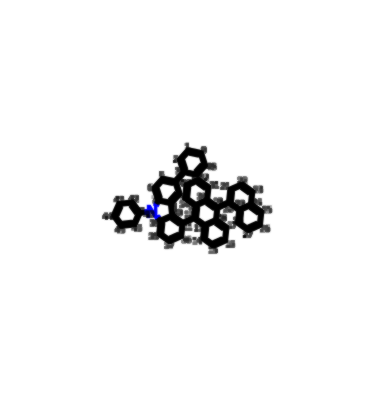 c1ccc(-c2ccc3c(c2)c2c(-c4c5ccccc5c(-c5cccc6ccccc56)c5ccccc45)cccc2n3-c2ccccc2)cc1